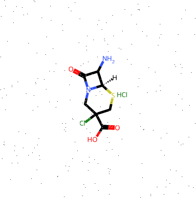 Cl.NC1C(=O)N2CC(Cl)(C(=O)O)CS[C@H]12